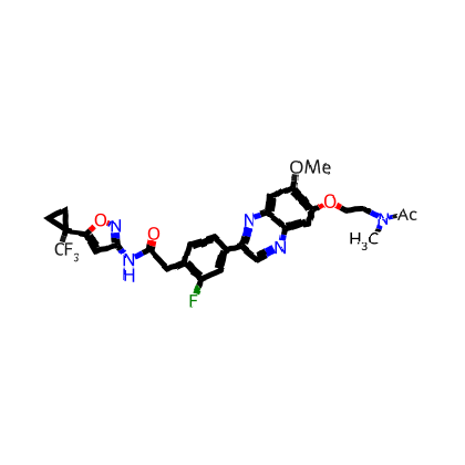 COc1cc2nc(-c3ccc(CC(=O)Nc4cc(C5(C(F)(F)F)CC5)on4)c(F)c3)cnc2cc1OCCN(C)C(C)=O